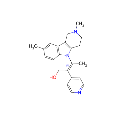 C/C(=C(/CO)c1ccncc1)n1c2c(c3cc(C)ccc31)CN(C)CC2